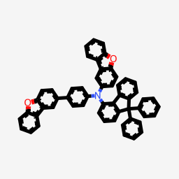 c1ccc(C2(c3ccccc3)c3ccccc3-c3c(N(c4ccc(-c5ccc6oc7ccccc7c6c5)cc4)c4ccc5oc6ccccc6c5c4)cccc32)cc1